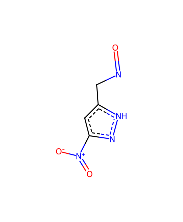 O=NCc1cc([N+](=O)[O-])n[nH]1